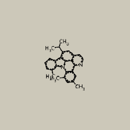 Cc1cc(C)c2c(c1)c1nccc3cc(C(C)C)c4c5cccc(C)c5n2c4c31